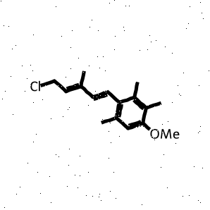 COc1cc(C)c(/C=C/C(C)=C/CCl)c(C)c1C